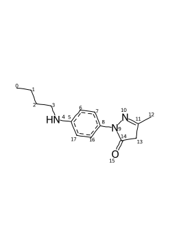 CCCCNc1ccc(N2N=C(C)CC2=O)cc1